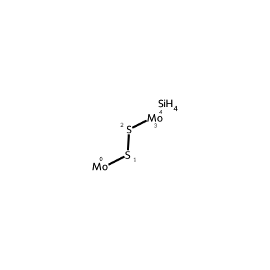 [Mo][S][S][Mo].[SiH4]